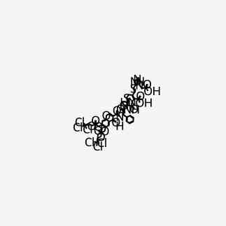 CO[C@@]1(NC(=O)C(NC(=O)c2coc3cc(OC(=O)OCC(Cl)(Cl)Cl)c(OC(=O)OCC(Cl)(Cl)Cl)cc3c2=O)c2ccccc2)C(=O)N2C(C(=O)O)=C(CSc3nnnn3CC(=O)O)CS[C@H]21